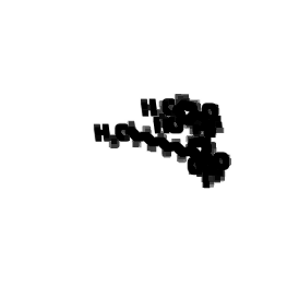 CCCCCCCCCc1cccc(C(=O)C(F)(F)F)c1O.Cc1ccc(C(=O)C(F)(F)F)cc1O